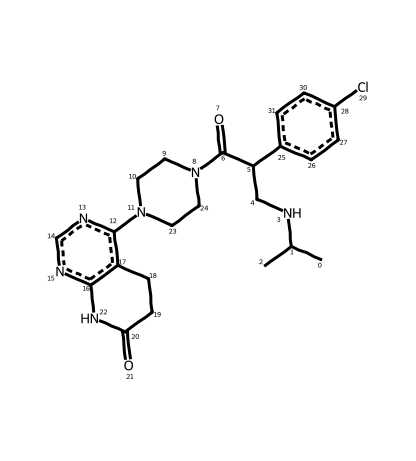 CC(C)NCC(C(=O)N1CCN(c2ncnc3c2CCC(=O)N3)CC1)c1ccc(Cl)cc1